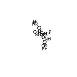 NC(=O)c1nn(CC(=O)N2C[C@H](F)C[C@H]2C(=O)Nc2ccc3c(c2)OC(F)(F)O3)c2ccc(-c3ccnnc3)cc12